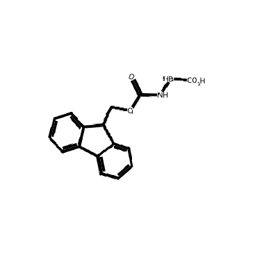 O=C(O)BNC(=O)OCC1c2ccccc2-c2ccccc21